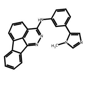 Cn1cncc1-c1cccc(Nc2nnc3c4c(cccc24)-c2ccccc2-3)c1